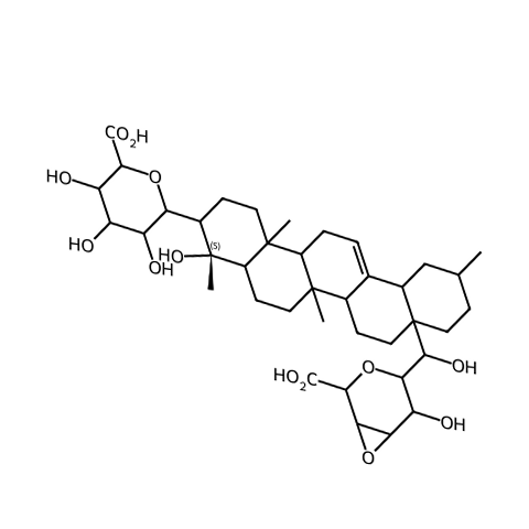 CC1CCC2(C(O)C3OC(C(=O)O)C4OC4C3O)CCC3C(=CCC4C3(C)CCC3C4(C)CCC(C4OC(C(=O)O)C(O)C(O)C4O)[C@@]3(C)O)C2C1